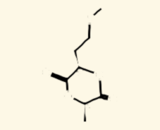 CSCC[C@H]1OC(=O)[C@@H](C)OC1=O